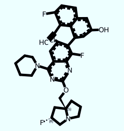 C#Cc1c(F)ccc2cc(O)cc(-c3c(Cl)cc4c(N5CCCCC5)nc(OC[C@@]56CCCN5C[C@H](F)C6)nc4c3F)c12